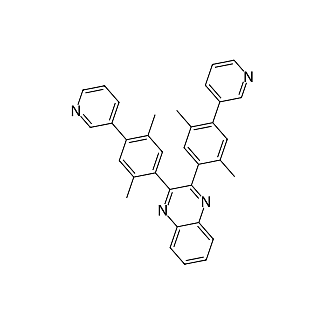 Cc1cc(-c2nc3ccccc3nc2-c2cc(C)c(-c3cccnc3)cc2C)c(C)cc1-c1cccnc1